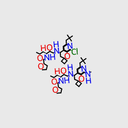 CCC[C@H](NC(=O)C1CCCO1)[C@H](O)CN[C@H]1CC2(CCC2)Oc2c1cc(CC(C)(C)C)nc2Cl.CCC[C@H](NC(=O)C1CCCO1)[C@H](O)CN[C@H]1CC2(CCC2)Oc2c1cc(CC(C)(C)C)nc2NC